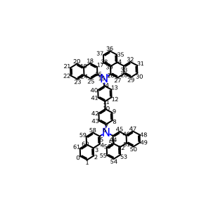 c1ccc2cc(N(c3ccc(-c4ccc(N(c5ccc6ccccc6c5)c5cc6ccccc6c6ccccc56)cc4)cc3)c3cc4ccccc4c4ccccc34)ccc2c1